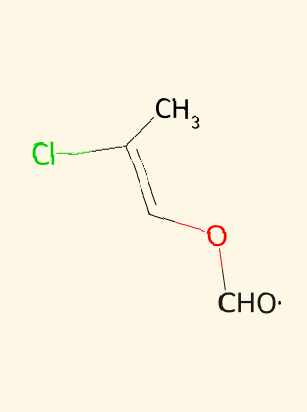 C/C(Cl)=C\O[C]=O